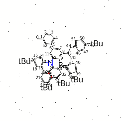 Cc1cccc(-c2cc3c4c(c2)N(c2ccc(C(C)(C)C)cc2-c2ccc(C(C)(C)C)cc2)c2ccc(C(C)(C)C)cc2B4c2cc(C(C)(C)C)ccc2CC3Cc2ccc(C(C)(C)C)cc2)c1